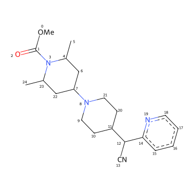 COC(=O)N1C(C)CC(N2CCC(C(C#N)c3ccccn3)CC2)CC1C